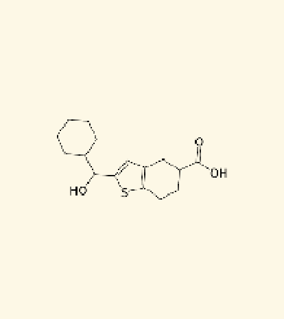 O=C(O)C1CCc2sc(C(O)C3CCCCC3)cc2C1